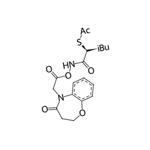 CC[C@H](C)[C@H](SC(C)=O)C(=O)NOC(=O)CN1C(=O)CCOc2ccccc21